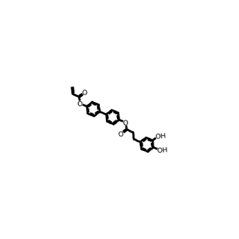 C=CC(=O)Oc1ccc(-c2ccc(OC(=O)CCc3ccc(O)c(O)c3)cc2)cc1